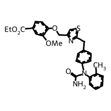 CCOC(=O)c1ccc(OCc2csc(Cc3ccc(N(C(N)=O)c4ccccc4C)cc3)n2)c(OC)c1